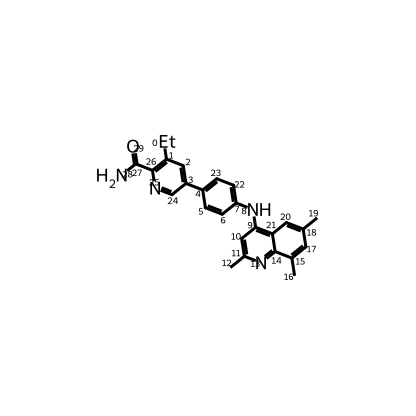 CCc1cc(-c2ccc(Nc3cc(C)nc4c(C)cc(C)cc34)cc2)cnc1C(N)=O